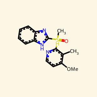 COc1ccnc([SH](C)(=O)c2nc3ccccc3[nH]2)c1C